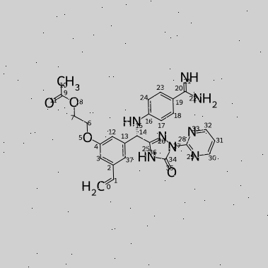 C=Cc1cc(OCCOC(C)=O)cc([C@H](Nc2ccc(C(=N)N)cc2)c2nn(-c3ncccn3)c(=O)[nH]2)c1